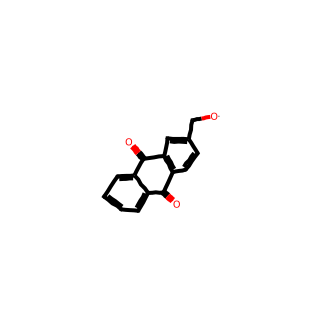 [O]Cc1ccc2c(c1)C(=O)c1ccccc1C2=O